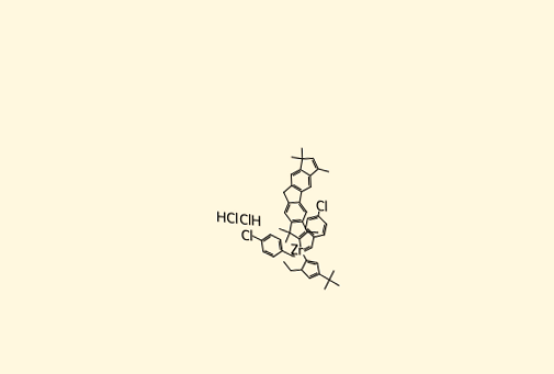 CCC1C=C(C(C)(C)C)C=[C]1[Zr](=[CH]c1ccc(Cl)cc1)(=[CH]c1ccc(Cl)cc1)[C]1=C(C)c2cc3c(cc2C1(C)C)Cc1cc2c(cc1-3)C(C)=CC2(C)C.Cl.Cl